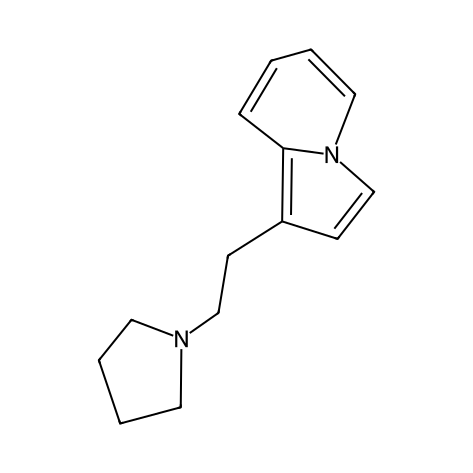 c1ccn2ccc(CCN3CCCC3)c2c1